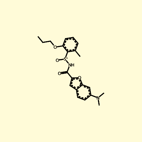 CCCOc1cccc(C)c1[S+]([O-])NC(=O)c1cc2ccc(N(C)C)cc2o1